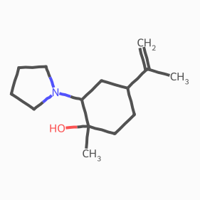 C=C(C)C1CCC(C)(O)C(N2CCCC2)C1